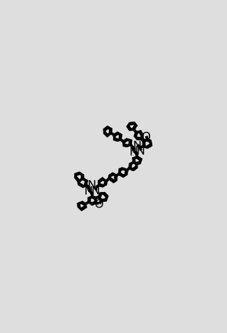 c1ccc(-c2ccc(-c3ccc(-c4nc(-c5ccc6ccc(-c7ccc(-c8ccc(-c9ccc(-c%10nc(-c%11ccc%12ccccc%12c%11)nc(-c%11cc(-c%12ccccc%12)cc%12oc%13ccccc%13c%11%12)n%10)cc9)cc8)cc7)cc6c5)nc(-c5cccc6oc7cc(-c8ccccc8)ccc7c56)n4)cc3)cc2)cc1